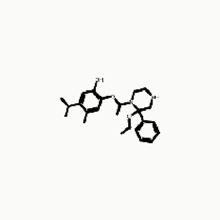 CCOC1(c2ccccc2)CNCCN1C(C)Oc1cc(C)c(C(C)C)cc1O